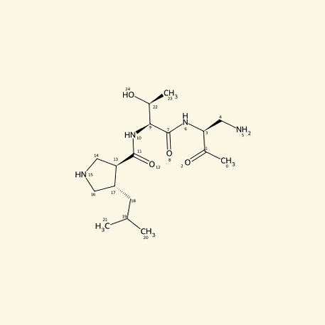 CC(=O)[C@H](CN)NC(=O)[C@@H](NC(=O)[C@@H]1CNC[C@H]1CC(C)C)[C@H](C)O